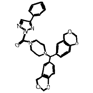 O=C(N1CCN(C(c2ccc3c(c2)COCO3)c2ccc3c(c2)COCO3)CC1)n1ncc(-c2ccccc2)n1